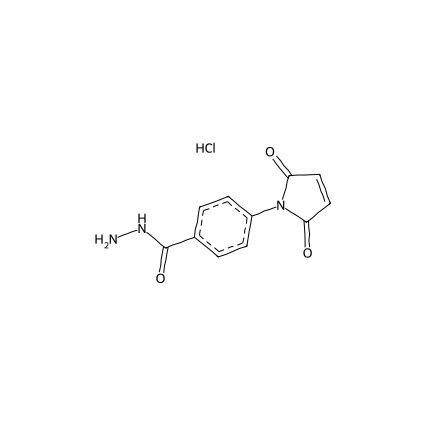 Cl.NNC(=O)c1ccc(N2C(=O)C=CC2=O)cc1